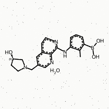 Cc1c(Nc2nccc3cc(CN4CC[C@@H](O)C4)cnc23)cccc1B(O)O.O